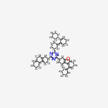 c1ccc(-c2ccc(-c3nc(-c4ccc5c(ccc6ccccc65)c4)nc(-c4ccc5c(c4)oc4cccc(-c6ccccc6)c45)n3)cc2-c2ccccc2)cc1